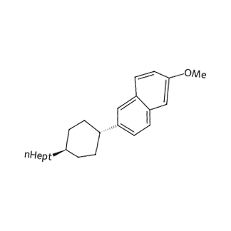 CCCCCCC[C@H]1CC[C@H](c2ccc3cc(OC)ccc3c2)CC1